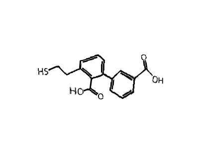 O=C(O)c1cccc(-c2cccc(CCS)c2C(=O)O)c1